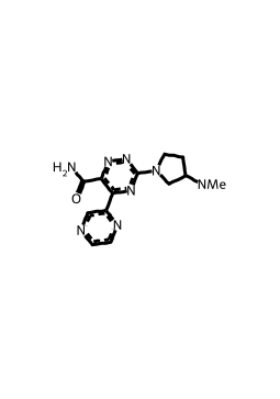 CNC1CCN(c2nnc(C(N)=O)c(-c3cnccn3)n2)C1